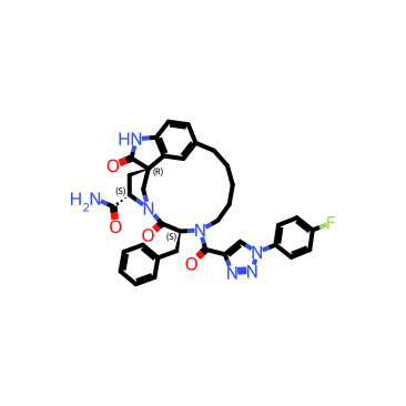 NC(=O)[C@@H]1C[C@]23CN1C(=O)[C@H](Cc1ccccc1)N(C(=O)c1cn(-c4ccc(F)cc4)nn1)CCCCCc1ccc(c2c1)NC3=O